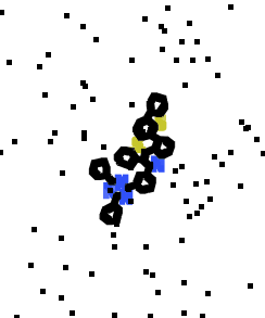 c1ccc(-c2nc(-c3ccccc3)nc(-c3cccc(-c4nc5cccc(-c6cccc7c6sc6ccccc67)c5c5sc6ccccc6c45)c3)n2)cc1